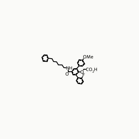 COc1ccc(-c2cc(C(=O)NCCCCCCc3ccccc3)cc(-c3ccccc3F)c2OCC(=O)O)cc1